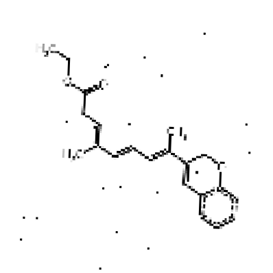 CCOC(=O)CC=C(C)C=CC=C(C)C1=Cc2ccccc2OC1